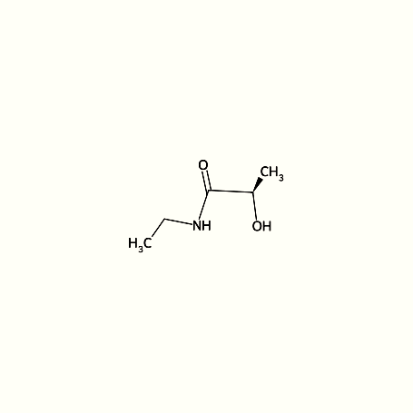 CCNC(=O)[C@@H](C)O